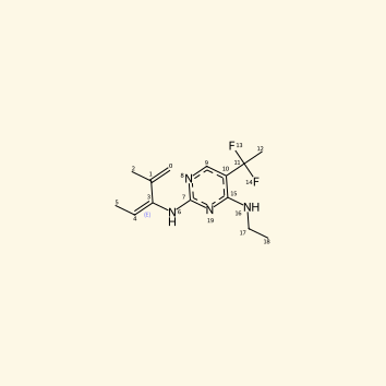 C=C(C)/C(=C\C)Nc1ncc(C(C)(F)F)c(NCC)n1